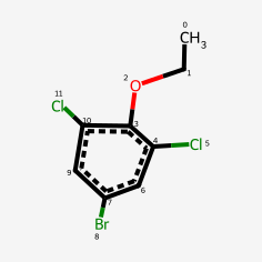 CCOc1c(Cl)cc(Br)cc1Cl